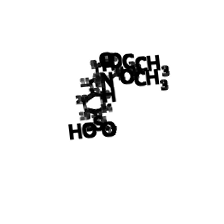 CC(C)(C)OC(=O)N[C@H](C=O)Cc1ccc(S(=O)O)cc1